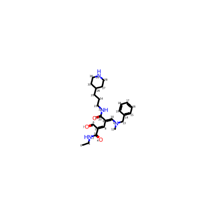 CCNC(=O)/C(C=O)=C/C(=C\N(C)Cc1ccccc1)C(=O)NCCCC1CCNCC1